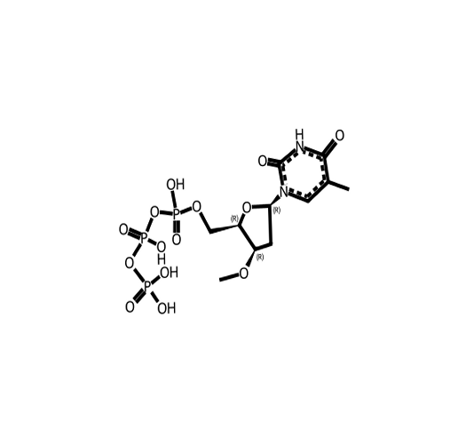 CO[C@@H]1C[C@H](n2cc(C)c(=O)[nH]c2=O)O[C@@H]1COP(=O)(O)OP(=O)(O)OP(=O)(O)O